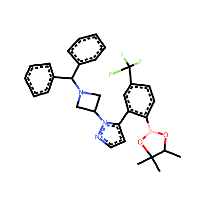 CC1OB(c2ccc(C(F)(F)F)cc2-c2ccnn2C2CN(C(c3ccccc3)c3ccccc3)C2)OC1(C)C